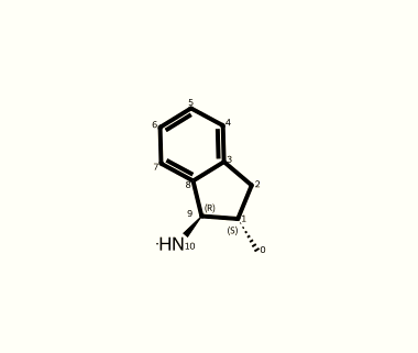 C[C@H]1Cc2ccccc2[C@@H]1[NH]